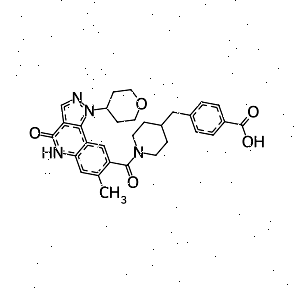 Cc1cc2[nH]c(=O)c3cnn(C4CCOCC4)c3c2cc1C(=O)N1CCC(Cc2ccc(C(=O)O)cc2)CC1